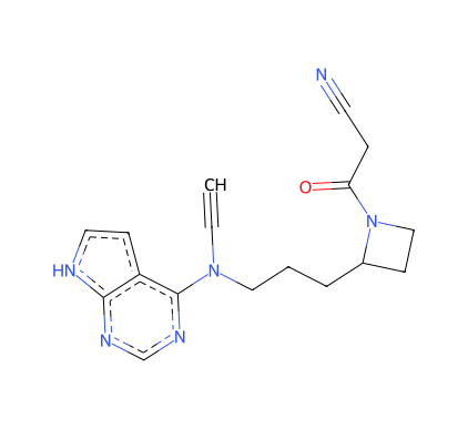 C#CN(CCCC1CCN1C(=O)CC#N)c1ncnc2[nH]ccc12